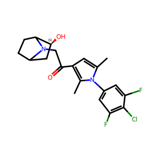 Cc1cc(C(=O)CN2C3CCC2[C@@H](O)C3)c(C)n1-c1cc(F)c(Cl)c(F)c1